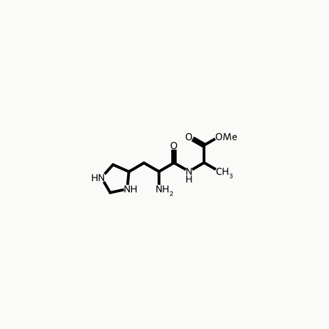 COC(=O)C(C)NC(=O)C(N)CC1CNCN1